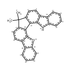 CC1(C)c2ccc3c([nH]c4ccccc43)c2-c2c1ccc1c2oc2ccccc21